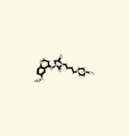 CCCCOc1ccc2c(c1)/C(=N/N1CC(=O)N(CCCCN3CCN(C)CC3)C1=O)CCO2